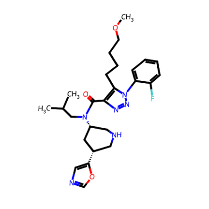 COCCCCc1c(C(=O)N(CC(C)C)[C@@H]2CNC[C@H](c3cnco3)C2)nnn1-c1ccccc1F